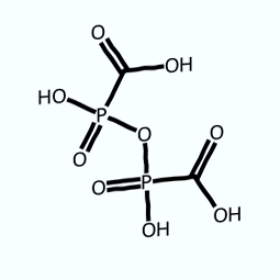 O=C(O)P(=O)(O)OP(=O)(O)C(=O)O